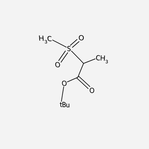 CC(C(=O)OC(C)(C)C)S(C)(=O)=O